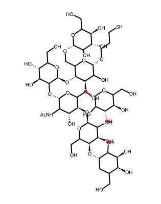 CC(=O)NC1[C@H](OC2[C@H](O[C@@H]3C(CO[C@@H]4OC(CO)[C@@H](O)[C@H](O)C4O)O[C@H](OCCCS)C(O)[C@H]3O[C@@H]3OC(CO)[C@@H](O)[C@H](O)C3O)OC(CO)[C@@H](O)[C@@H]2O)OC(CO)[C@@H](O[C@@H]2OC(CO)[C@H](O[C@H]3CC(CO)[C@H](O)[C@H](O)C3O)[C@H](O)C2O)[C@@H]1O